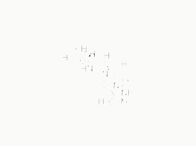 Cc1cn(CC(=O)N(CCNC(=O)OC(C)(C)C)[C@@H](C)C(=O)O)c(=O)[nH]c1=O